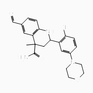 CC1(C(N)=O)CC(c2cc(N3CCOCC3)ccc2Cl)Nc2ccc([C]=O)cc21